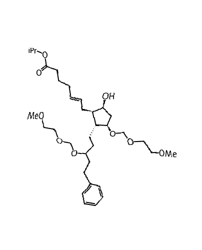 COCCOCOC(CCc1ccccc1)CC[C@@H]1[C@@H](CC=CCCCC(=O)OC(C)C)[C@@H](O)C[C@H]1OCOCCOC